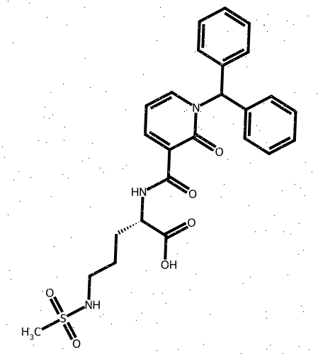 CS(=O)(=O)NCCC[C@H](NC(=O)c1cccn(C(c2ccccc2)c2ccccc2)c1=O)C(=O)O